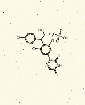 CS(=O)(=O)O.O=c1cnn(-c2cc(Cl)c(C(CO)c3ccc(Cl)cc3)c(Cl)c2)c(=O)[nH]1